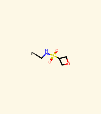 CC(C)CNS(=O)(=O)C1COC1